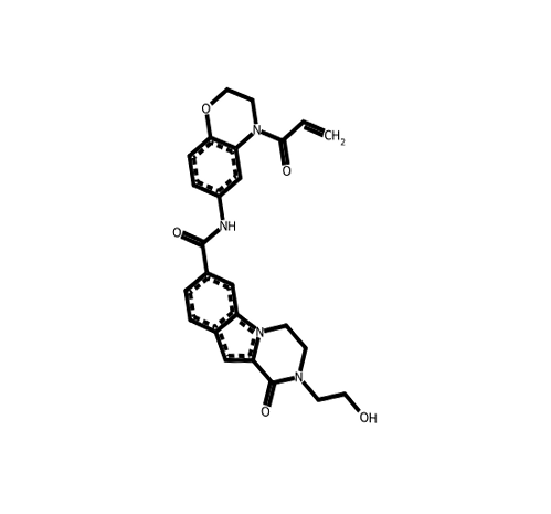 C=CC(=O)N1CCOc2ccc(NC(=O)c3ccc4cc5n(c4c3)CCN(CCO)C5=O)cc21